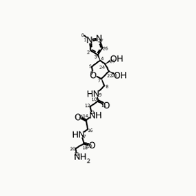 Cn1cc([C@@H]2CO[C@H](CNC(=O)CNC(=O)CNC(=O)CN)[C@H](O)[C@@H]2O)cn1